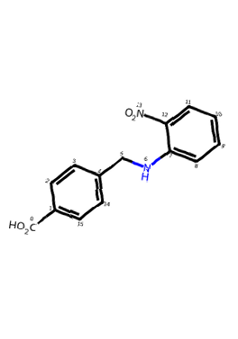 O=C(O)c1ccc(CNc2ccccc2[N+](=O)[O-])cc1